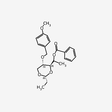 CC[C@@H]1OC[C@H](OCc2ccc(OC)cc2)[C@@H](C(C)OC(=O)c2ccccc2)O1